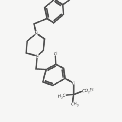 CCOC(=O)C(C)(C)Oc1ccc(CN2CCN(Cc3ccc(C(F)(F)F)cc3)CC2)c(Cl)c1